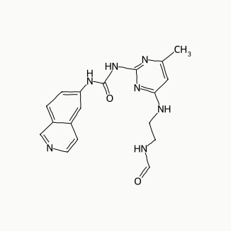 Cc1cc(NCCNC=O)nc(NC(=O)Nc2ccc3cnccc3c2)n1